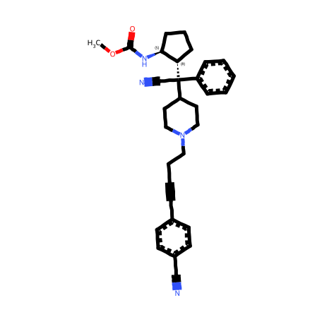 COC(=O)N[C@H]1CCC[C@@H]1C(C#N)(c1ccccc1)C1CCN(CCC#Cc2ccc(C#N)cc2)CC1